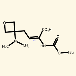 CN(C)C1(C/C=C(/NC(=O)OC(C)(C)C)C(=O)O)COC1